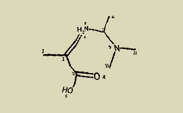 C=C(C)C(=O)O.CC(N)N(C)C